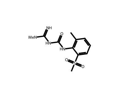 CNC(=N)NC(=O)Nc1c(C)cccc1S(C)(=O)=O